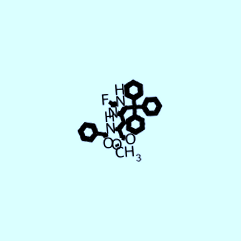 COC(=O)C(=Cc1nc(F)[nH]c1C(c1ccccc1)(c1ccccc1)c1ccccc1)NC(=O)c1ccccc1